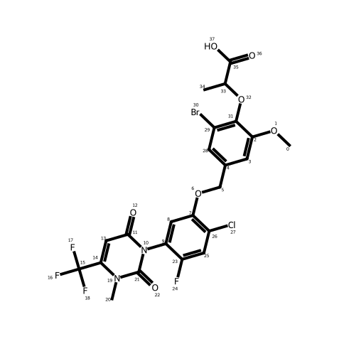 COc1cc(COc2cc(-n3c(=O)cc(C(F)(F)F)n(C)c3=O)c(F)cc2Cl)cc(Br)c1OC(C)C(=O)O